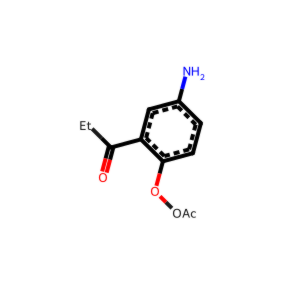 CCC(=O)c1cc(N)ccc1OOC(C)=O